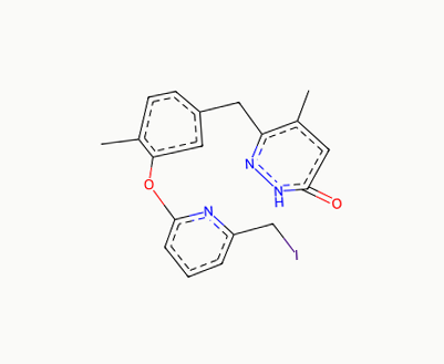 Cc1ccc(Cc2n[nH]c(=O)cc2C)cc1Oc1cccc(CI)n1